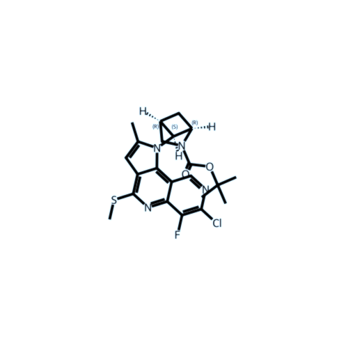 CSc1nc2c(F)c(Cl)ncc2c2c1cc(C)n2[C@H]1[C@@H]2C[C@H]1N(C(=O)OC(C)(C)C)C2